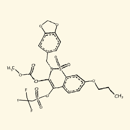 CCCOc1ccc2c(c1)S(=O)(=O)N(Cc1ccc3c(c1)OCO3)C(OC(=O)OC)=C2OS(=O)(=O)C(F)(F)F